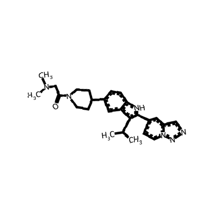 CC(C)c1c(-c2ccn3nncc3c2)[nH]c2ccc(C3CCN(C(=O)CN(C)C)CC3)cc12